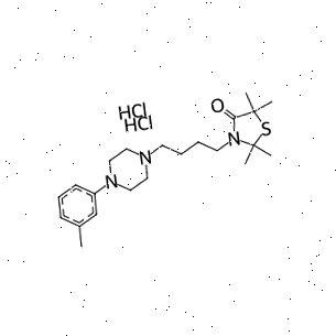 Cc1cccc(N2CCN(CCCCN3C(=O)C(C)(C)SC3(C)C)CC2)c1.Cl.Cl